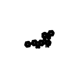 CC1(C)c2cc(-c3ccccc3)ccc2-c2cc3c(cc21)c1ncccc1n3-c1cccc2c1oc1ccccc12